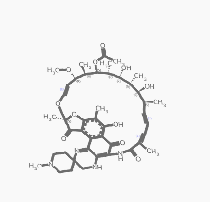 CO[C@H]1/C=C/O[C@@]2(C)Oc3c(C)c(O)c4c(c3C2=O)C2=NC3(CCN(C)CC3)CNC2=C(NC(=O)/C(C)=C\C=C\[C@H](C)[C@H](O)[C@@H](C)[C@@H](O)[C@@H](C)[C@H](OC(C)=O)[C@@H]1C)C4=O